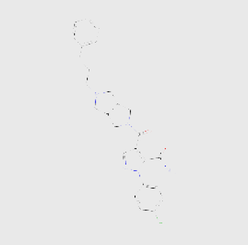 NC(=O)c1c(C(=O)N2CC3CN(CC[CH]c4ccccc4)C[C@H]3C2)cnn1-c1ccc(Cl)cc1